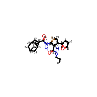 CCCNC(=O)c1c(-c2ccco2)csc1NC(=O)C12CC3CC(CC1C3)C2